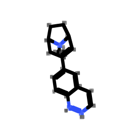 CN1C2C=C(c3ccc4nnccc4c3)CC1CC2